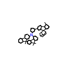 Cc1cccc2c1-c1ccc(-c3cccc(N(c4ccc5c(c4)C(C)(C)c4ccccc4-5)c4cccc5c4-c4ccccc4C5(C)C)c3)cc1C21C2CC3CC(C2)CC1C3